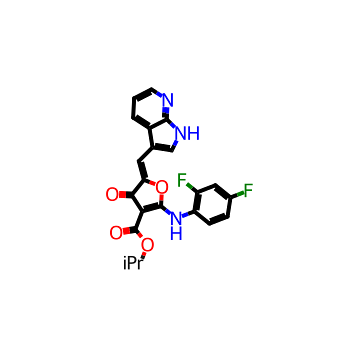 CC(C)OC(=O)C1=C(Nc2ccc(F)cc2F)OC(=Cc2c[nH]c3ncccc23)C1=O